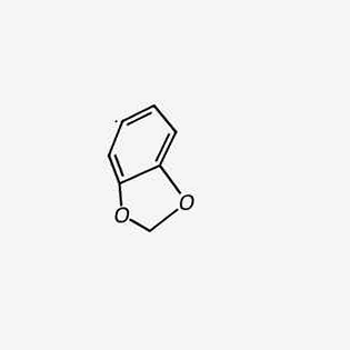 [c]1ccc2c(c1)OCO2